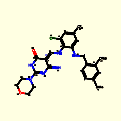 COc1ccc(CNc2cc(C(F)(F)F)cc(Cl)c2N/C=C2\C(=N)N=C(N3CCOCC3)NC2=O)c(OC)c1